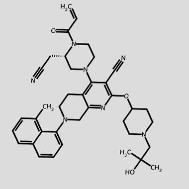 C=CC(=O)N1CCN(c2c(C#N)c(OC3CCN(CC(C)(C)O)CC3)nc3c2CCN(c2cccc4cccc(C)c24)C3)C[C@@H]1CC#N